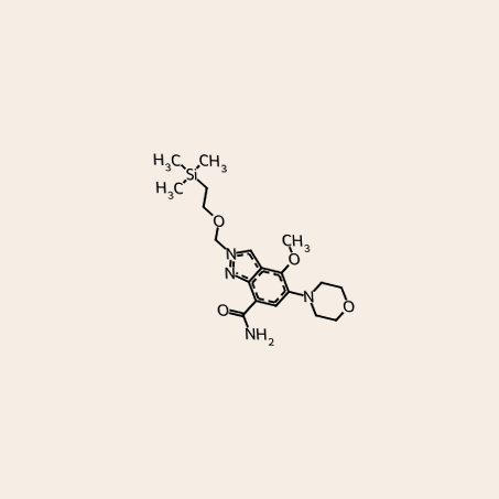 COc1c(N2CCOCC2)cc(C(N)=O)c2nn(COCC[Si](C)(C)C)cc12